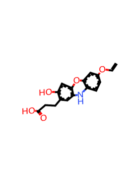 C=COc1ccc2c(c1)Oc1cc(O)c(CCC(=O)O)cc1N2